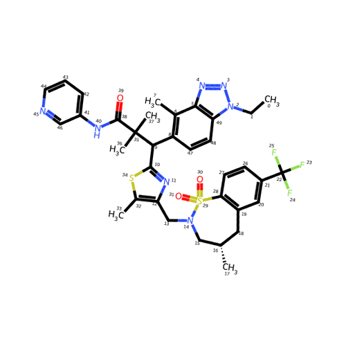 CCn1nnc2c(C)c(C(c3nc(CN4C[C@@H](C)Cc5cc(C(F)(F)F)ccc5S4(=O)=O)c(C)s3)C(C)(C)C(=O)Nc3cccnc3)ccc21